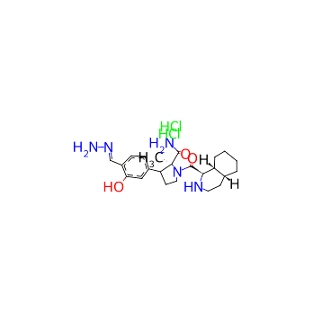 C[C@@]1(C(N)=O)C(c2ccc(C=NN)c(O)c2)CCN1C(=O)[C@@H]1NCC[C@H]2CCCC[C@H]21.Cl.Cl